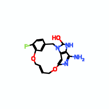 Nc1nc2cc3c1NC(O)N3Cc1ccc(F)c(c1)OC/C=C/CO2